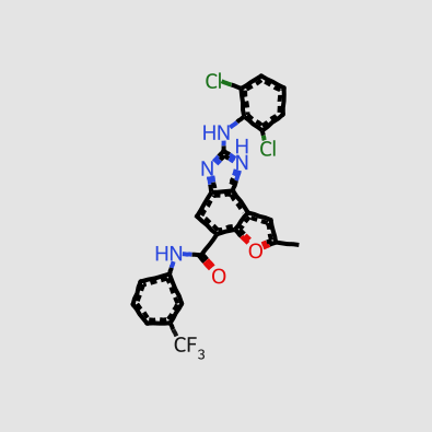 Cc1cc2c(o1)c(C(=O)Nc1cccc(C(F)(F)F)c1)cc1nc(Nc3c(Cl)cccc3Cl)[nH]c12